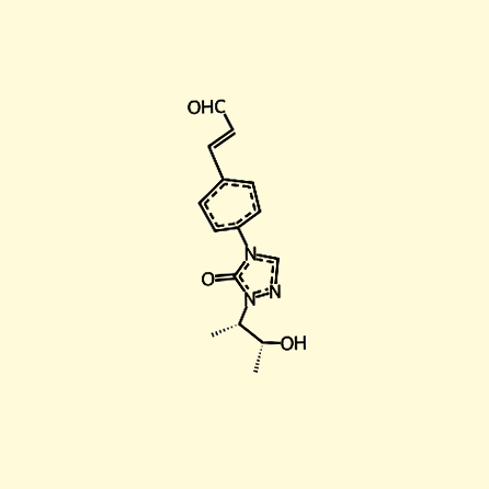 C[C@@H](O)[C@H](C)n1ncn(-c2ccc(/C=C/C=O)cc2)c1=O